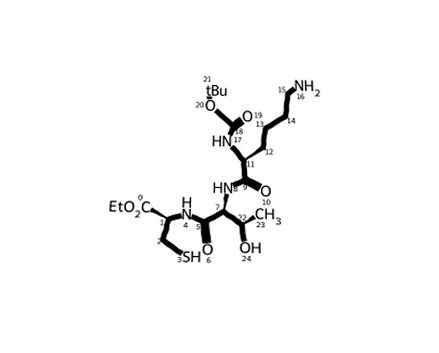 CCOC(=O)[C@H](CS)NC(=O)[C@@H](NC(=O)[C@H](CCCCN)NC(=O)OC(C)(C)C)[C@@H](C)O